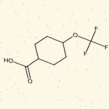 O=C(O)C1CCC(OC(F)(F)F)CC1